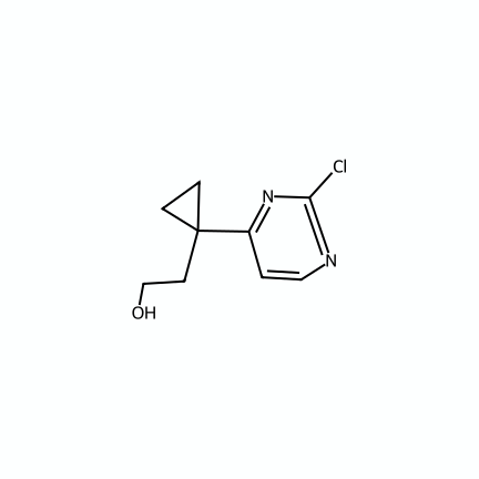 OCCC1(c2ccnc(Cl)n2)CC1